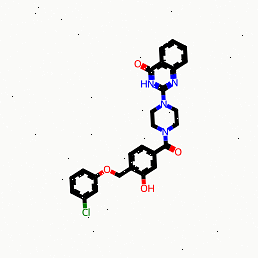 O=C(c1ccc(COc2cccc(Cl)c2)c(O)c1)N1CCN(c2nc3ccccc3c(=O)[nH]2)CC1